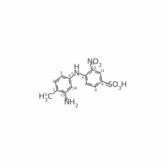 Cc1ccc(Nc2ccc(S(=O)(=O)O)cc2[N+](=O)[O-])cc1N